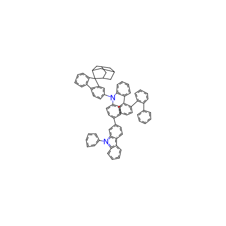 c1ccc(-c2ccccc2-c2ccccc2-c2ccccc2N(c2ccc(-c3ccc4c5ccccc5n(-c5ccccc5)c4c3)cc2)c2ccc3c(c2)C2(c4ccccc4-3)C3CC4CC(C3)CC2C4)cc1